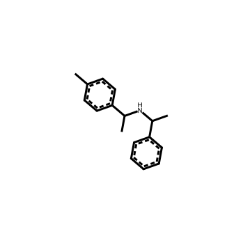 Cc1ccc(C(C)NC(C)c2ccccc2)cc1